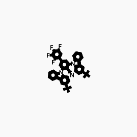 CC(C)(C)c1ccc2c(c1)c1ccccc1n2-c1cc(-c2cc(F)c(F)c(F)c2F)cc(-n2c3ccccc3c3cc(C(C)(C)C)ccc32)c1C#N